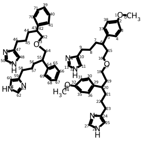 COc1ccc(C(CCCc2c[nH]cn2)CCOCCC(CCCc2c[nH]cn2)c2ccc(OC)cc2)cc1.c1ccc(C(CCCc2c[nH]cn2)COCC(CCCc2c[nH]cn2)c2ccccc2)cc1